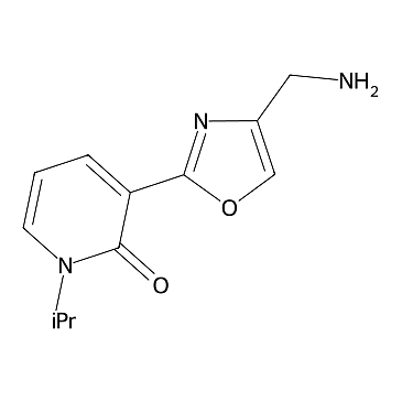 CC(C)n1cccc(-c2nc(CN)co2)c1=O